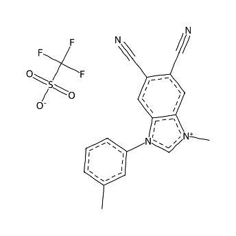 Cc1cccc(-n2c[n+](C)c3cc(C#N)c(C#N)cc32)c1.O=S(=O)([O-])C(F)(F)F